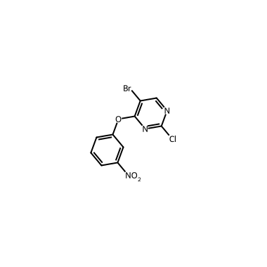 O=[N+]([O-])c1cccc(Oc2nc(Cl)ncc2Br)c1